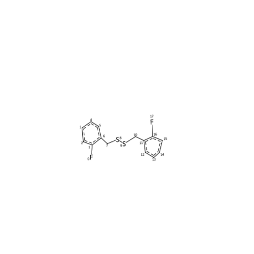 Fc1ccccc1CSSCc1ccccc1F